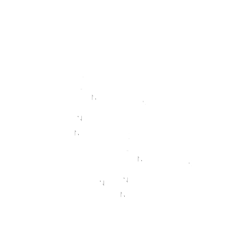 CCc1ccc(Cl)c(CC)c1N(Cn1cccn1)C(C)=O.CCc1ccc(Cl)c(CC)c1N(Cn1cncn1)C(C)=O